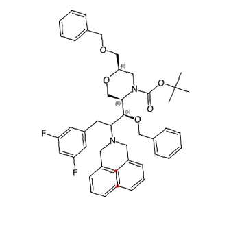 CC(C)(C)OC(=O)N1C[C@H](COCc2ccccc2)OC[C@@H]1[C@@H](OCc1ccccc1)C(Cc1cc(F)cc(F)c1)N(Cc1ccccc1)Cc1ccccc1